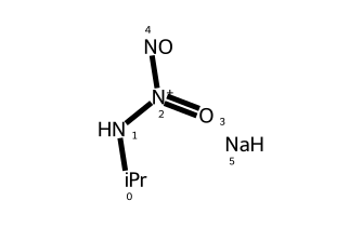 CC(C)N[N+](=O)N=O.[NaH]